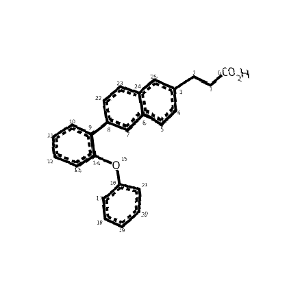 O=C(O)CCc1ccc2cc(-c3ccccc3Oc3ccccc3)ccc2c1